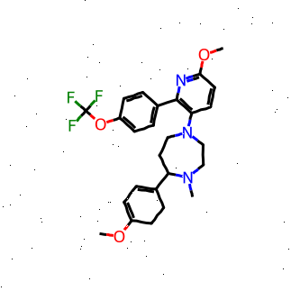 COC1=CC=C(C2CCN(c3ccc(OC)nc3-c3ccc(OC(F)(F)F)cc3)CCN2C)CC1